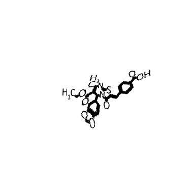 CCOC(=O)C1=C(C)N=c2sc(=Cc3ccc(C(=O)O)cc3)c(=O)n2C1c1ccc2c(c1)OCO2